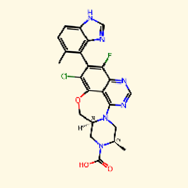 Cc1ccc2[nH]cnc2c1-c1c(Cl)c2c3c(ncnc3c1F)N1C[C@@H](C)N(C(=O)O)C[C@H]1CO2